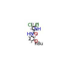 CCCCOc1cccc(NC(=O)c2cc(Cl)c(Cl)[nH]2)c1